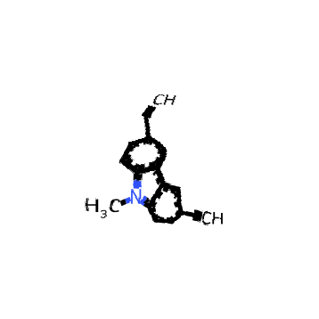 C#Cc1ccc2c(c1)c1cc(C#C)ccc1n2C